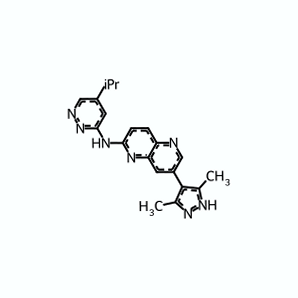 Cc1n[nH]c(C)c1-c1cnc2ccc(Nc3cc(C(C)C)cnn3)nc2c1